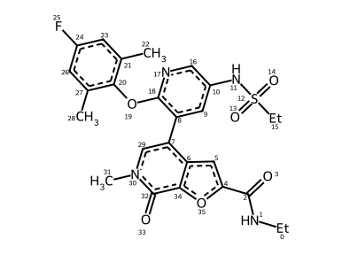 CCNC(=O)c1cc2c(-c3cc(NS(=O)(=O)CC)cnc3Oc3c(C)cc(F)cc3C)cn(C)c(=O)c2o1